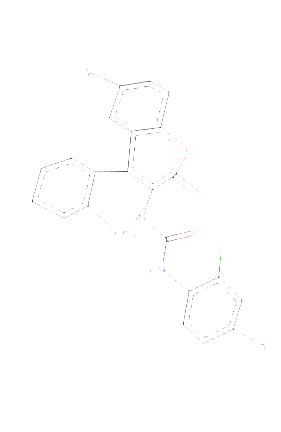 Cc1ccccc1-c1c(NC(=O)Nc2ccc(F)cc2F)c(=O)oc2ccc(Cl)cc12